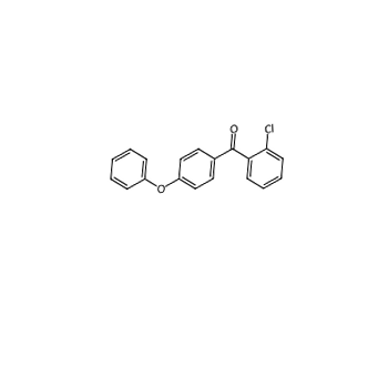 O=C(c1ccc(Oc2ccccc2)cc1)c1ccccc1Cl